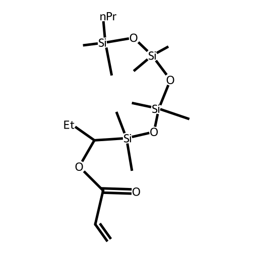 C=CC(=O)OC(CC)[Si](C)(C)O[Si](C)(C)O[Si](C)(C)O[Si](C)(C)CCC